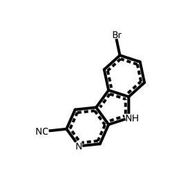 N#Cc1cc2c(cn1)[nH]c1ccc(Br)cc12